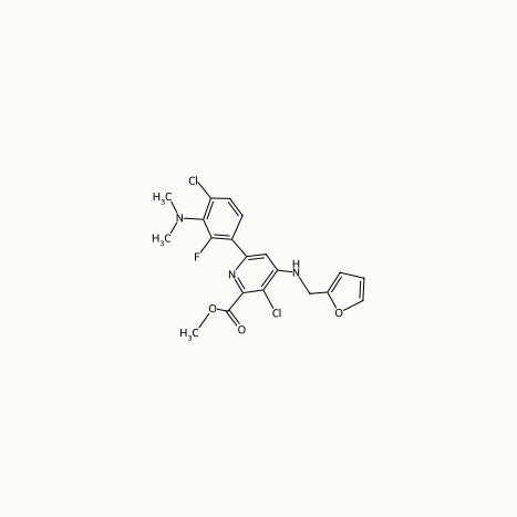 COC(=O)c1nc(-c2ccc(Cl)c(N(C)C)c2F)cc(NCc2ccco2)c1Cl